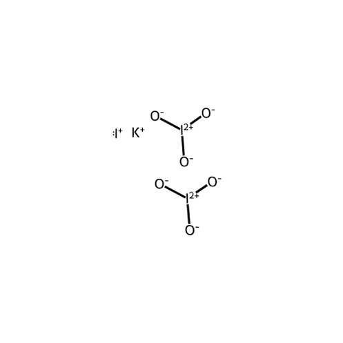 [I+].[K+].[O-][I+2]([O-])[O-].[O-][I+2]([O-])[O-]